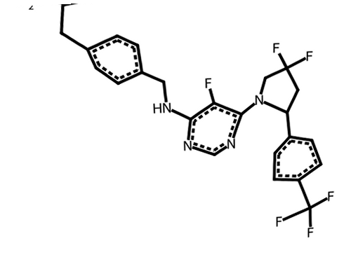 NC(=O)Cc1ccc(CNc2ncnc(N3CC(F)(F)CC3c3ccc(C(F)(F)F)cc3)c2F)cc1